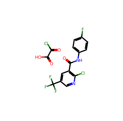 O=C(Nc1ccc(F)cc1)c1cc(C(F)(F)F)cnc1Cl.O=C(O)C(=O)Cl